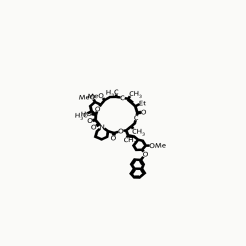 CCC1/C=C(\C)CC(C)CC(OC)C2OC(O)(C(=O)C(=O)N3CCCCC3C(=O)OC(C(C)=CC3CCC(Oc4ccc5ccccc5c4)C(OC)C3)C(C)CCC1=O)C(C)CC2OC